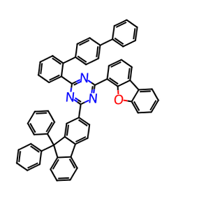 c1ccc(-c2ccc(-c3ccccc3-c3nc(-c4ccc5c(c4)C(c4ccccc4)(c4ccccc4)c4ccccc4-5)nc(-c4cccc5c4oc4ccccc45)n3)cc2)cc1